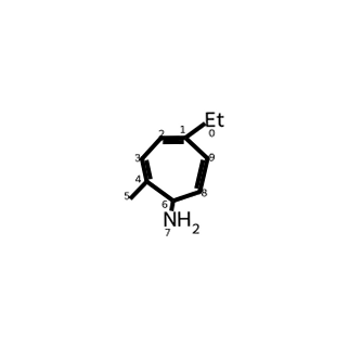 CCC1=CC=C(C)C(N)C=C1